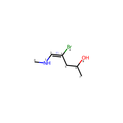 CN/C=C(/Br)CC(C)O